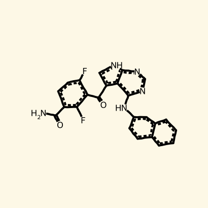 NC(=O)c1ccc(F)c(C(=O)c2c[nH]c3ncnc(Nc4ccc5ccccc5c4)c23)c1F